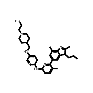 CCCC1C(C)=Nc2c(C)cc(C3=NC(NC4CC=C(NCC5CCN(CCO)CC5)C=N4)CC=C3C)cc21